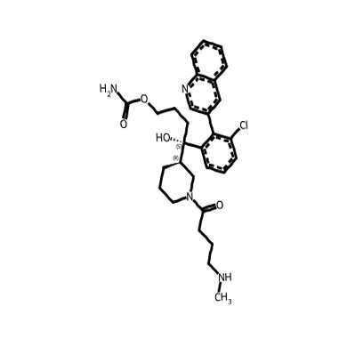 CNCCCC(=O)N1CCC[C@@H]([C@@](O)(CCCOC(N)=O)c2cccc(Cl)c2-c2cnc3ccccc3c2)C1